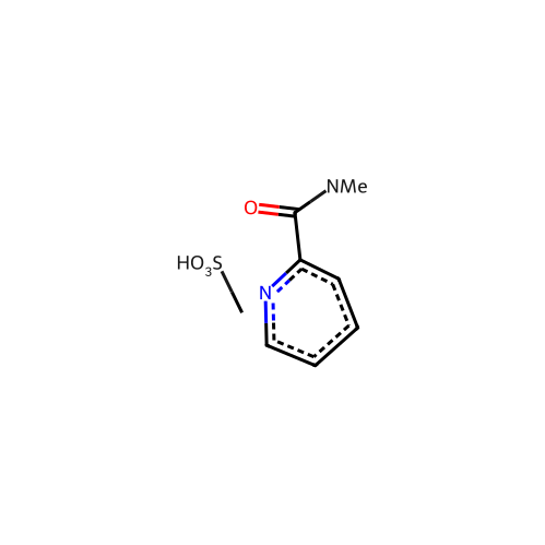 CNC(=O)c1ccccn1.CS(=O)(=O)O